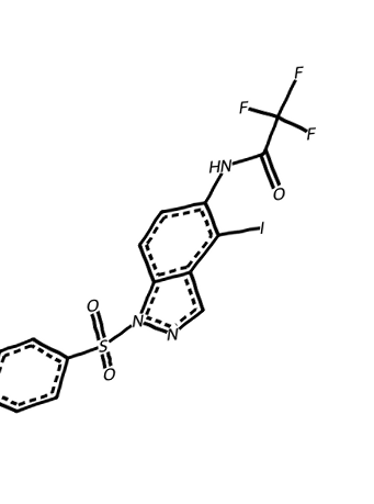 O=C(Nc1ccc2c(cnn2S(=O)(=O)c2ccccc2)c1I)C(F)(F)F